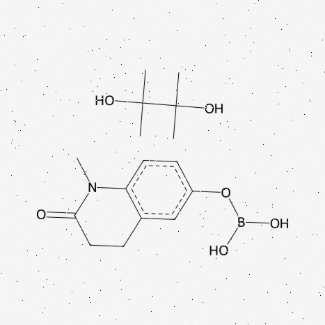 CC(C)(O)C(C)(C)O.CN1C(=O)CCc2cc(OB(O)O)ccc21